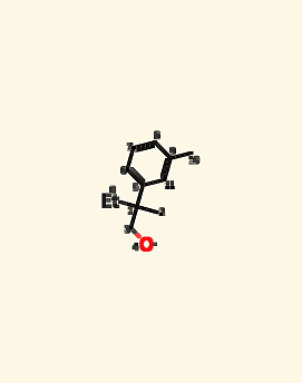 CCC(C)(C[O])c1cccc(C)c1